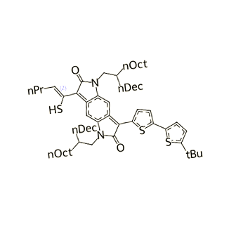 CCC/C=C(\S)C1=c2cc3c(cc2N(CC(CCCCCCCC)CCCCCCCCCC)C1=O)=C(c1ccc(-c2ccc(C(C)(C)C)s2)s1)C(=O)N3CC(CCCCCCCC)CCCCCCCCCC